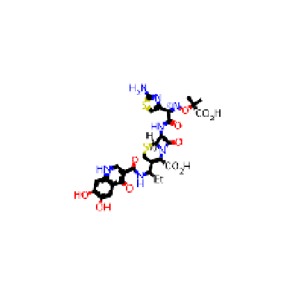 CCC(NC(=O)c1c[nH]c2cc(O)c(O)cc2c1=O)C1=C(C(=O)O)N2C(=O)C(NC(=O)/C(=N\OC(C)(C)C(=O)O)c3csc(N)n3)[C@@H]2SC1